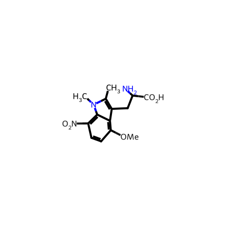 COc1ccc([N+](=O)[O-])c2c1c(CC(N)C(=O)O)c(C)n2C